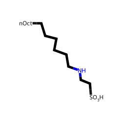 CCCCCCCCCCCCCCNCCS(=O)(=O)O